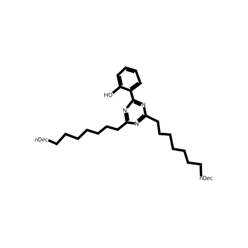 CCCCCCCCCCCCCCCCCc1nc(CCCCCCCCCCCCCCCCC)nc(-c2ccccc2O)n1